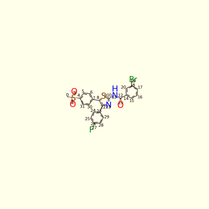 CS(=O)(=O)c1ccc(-c2sc(NC(=O)c3cccc(Br)c3)nc2-c2ccc(F)cc2)cc1